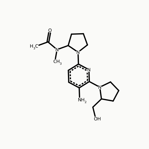 CC(=O)N(C)C1CCCN1c1ccc(N)c(N2CCCC2CO)n1